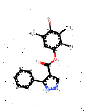 CCc1c(OC(=O)c2cn[nH]c2-c2ccccc2)cc(C)c(Br)c1C